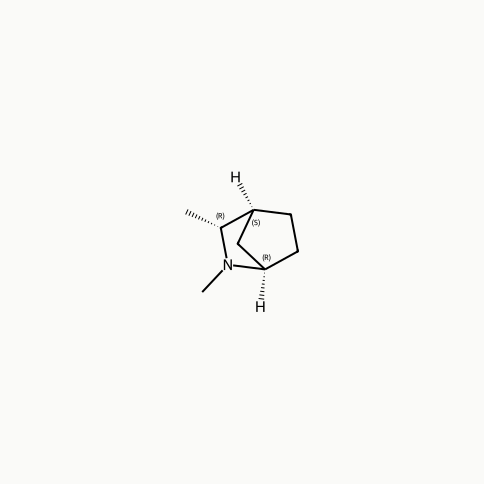 C[C@@H]1[C@H]2CC[C@H](C2)N1C